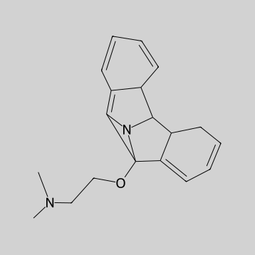 CN(C)CCOC12C3=CC=CCC3C3C4C=CC=CC4=C1N32